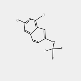 FC(F)(F)Oc1ccc2cc(Cl)nc(Cl)c2c1